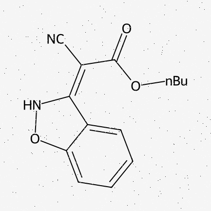 CCCCOC(=O)C(C#N)=C1NOc2ccccc21